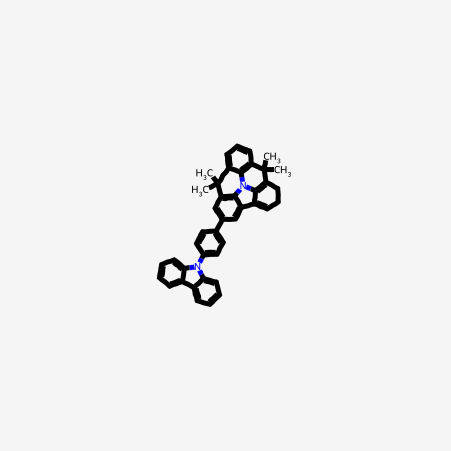 CC1(C)C2=c3c(c4cc(-c5ccc(-n6c7ccccc7c7ccccc76)cc5)cc5c4n3-c3c1cccc3C5(C)C)=CCC2